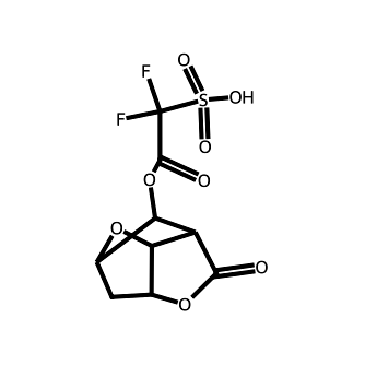 O=C1OC2CC3OC2C1C3OC(=O)C(F)(F)S(=O)(=O)O